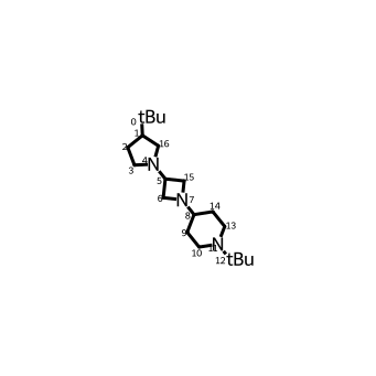 CC(C)(C)C1CCN(C2CN(C3CCN(C(C)(C)C)CC3)C2)C1